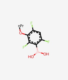 CCCOc1c(F)cc(F)c(B(O)O)c1F